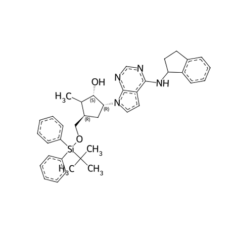 CC1[C@H](CO[Si](c2ccccc2)(c2ccccc2)C(C)(C)C)C[C@@H](n2ccc3c(NC4CCc5ccccc54)ncnc32)[C@H]1O